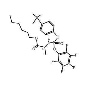 CCCCCCOC(=O)[C@H](C)NP(=O)(Oc1ccc(C(C)(C)C)cc1)Oc1c(F)c(F)c(F)c(F)c1F